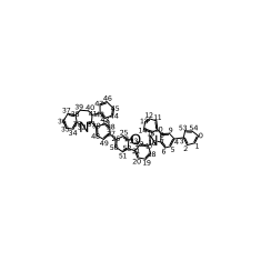 c1ccc(-c2ccc3c(c2)c2ccccc2n3-c2cccc3c2oc2cc(-c4ccc(C5=Nc6ccccc6CCC5c5ccccc5)cc4)ccc23)cc1